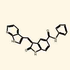 O=C1Nc2ccc(C(=O)Nc3ccccc3)cc2C1=Cc1c[nH]c2ncccc12